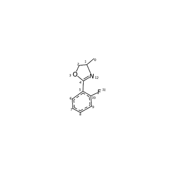 CC1COC(c2ccccc2F)=N1